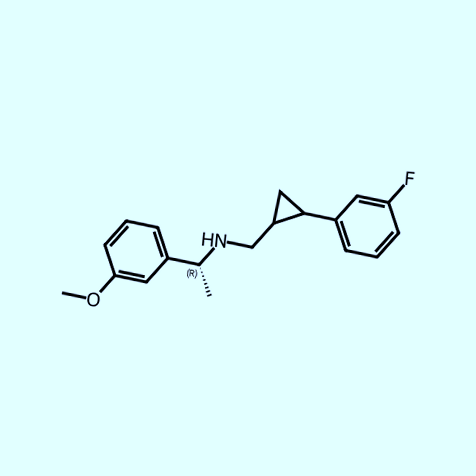 COc1cccc([C@@H](C)NCC2CC2c2cccc(F)c2)c1